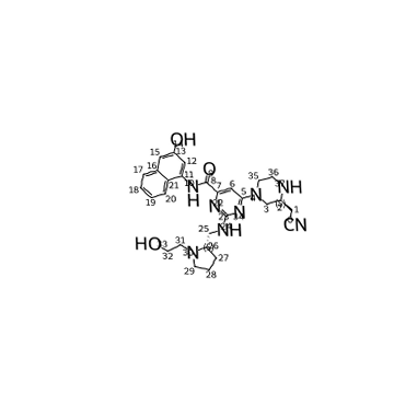 N#CC[C@H]1CN(c2cc(C(=O)Nc3cc(O)cc4ccccc34)nc(NC[C@@H]3CCCN3CCO)n2)CCN1